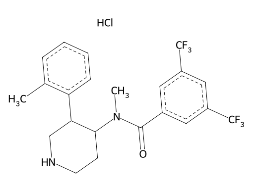 Cc1ccccc1C1CNCCC1N(C)C(=O)c1cc(C(F)(F)F)cc(C(F)(F)F)c1.Cl